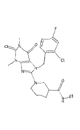 CCNC(=O)C1CCCN(c2nc3c(c(=O)n(C)c(=O)n3C)n2Cc2ccc(F)cc2Cl)C1